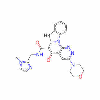 Cn1ccnc1CNC(=O)c1c2n(c3nnc(N4CCOCC4)cc3c1=O)-c1ccccc1B2